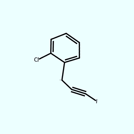 Clc1ccccc1[CH]C#CI